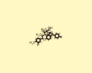 Cc1ccc([C@@H](Oc2ccc3c(cnn3-c3ccc(F)cc3)c2)[C@H](C)NC(=O)C(C)(C)CO)cc1F